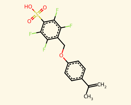 C=C(C)c1ccc(OCc2c(F)c(F)c(S(=O)(=O)O)c(F)c2F)cc1